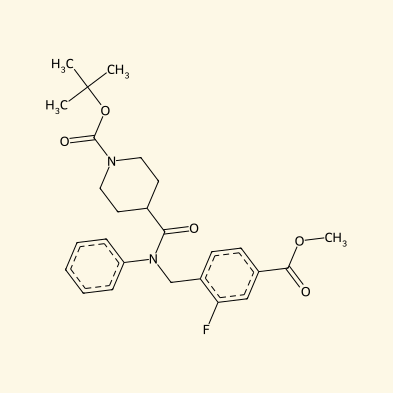 COC(=O)c1ccc(CN(C(=O)C2CCN(C(=O)OC(C)(C)C)CC2)c2ccccc2)c(F)c1